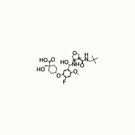 COc1cc(F)c(O[C@H]2CC[C@@](CO)(C(=O)O)CC2)cc1C(O)N[C@H]1COC[C@H]1C(=O)NCC(C)(C)C